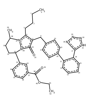 CCCCc1c(Cc2ccc(-c3ccccc3-c3nnn[nH]3)cc2)c(=O)n2n1C(C)CCC2c1cccc(C(=O)OCC)c1